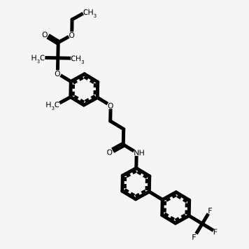 CCOC(=O)C(C)(C)Oc1ccc(OCCC(=O)Nc2cccc(-c3ccc(C(F)(F)F)cc3)c2)cc1C